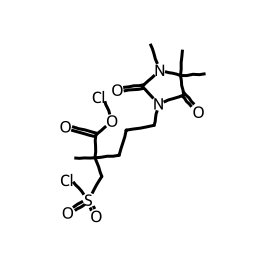 CN1C(=O)N(CCCC(C)(CS(=O)(=O)Cl)C(=O)OCl)C(=O)C1(C)C